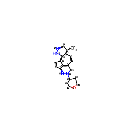 FC(F)(F)C1=c2ccc3c4c(ccc-4c2NN=C1)=NN(C1CCOCC1)C3